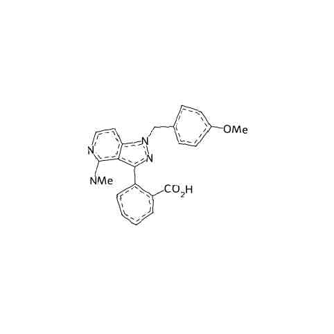 CNc1nccc2c1c(-c1ccccc1C(=O)O)nn2Cc1ccc(OC)cc1